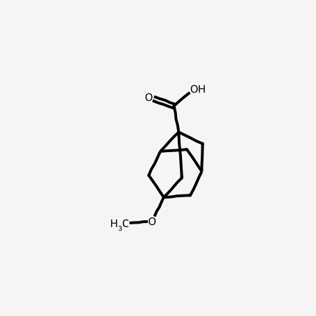 COC12CC3CC(C1)C(C(=O)O)(C3)C2